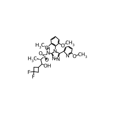 COc1cccc(-c2nnc(NS(=O)(=O)[C@H](C)[C@@H](O)C3CC(F)(F)C3)n2-c2c(OC)cccc2OC)n1